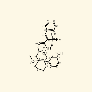 COC12CCCC[C@@]1(c1cccc(O)c1)C[C@@H](NC(=O)C(=Cc1ccccc1)C(F)(F)F)N(C)C2